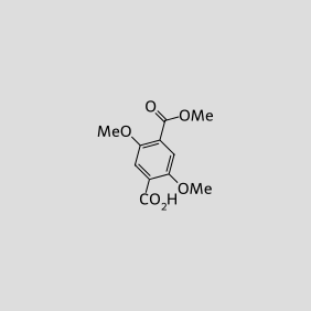 COC(=O)c1cc(OC)c(C(=O)O)cc1OC